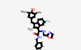 CCCc1cc(/C=C2/C(C)=C(C(NCc3ncco3)C(=O)NCc3ccccc3)c3cc(F)ccc32)cc(OC)c1O